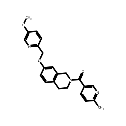 COc1ccc(COc2ccc3c(c2)CN(C(=O)c2ccc(C)nc2)CC3)nc1